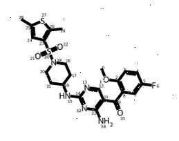 COc1ccc(F)cc1C(=O)c1cnc(NC2CCN(S(=O)(=O)c3cc(C)sc3C)CC2)nc1N